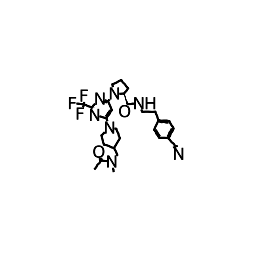 CC(=O)N(C)CC1CCN(c2cc(N3CCC[C@H]3C(=O)NCCc3ccc(C#N)cc3)nc(C(F)(F)F)n2)CC1